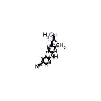 C=c1nc(Nc2ccc(C#N)cn2)cn/c1=C/C=C\C